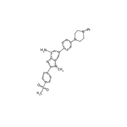 CC(C)N1CCN(c2ccc(-c3cc(N)c4nc(-c5ccc(S(C)(=O)=O)cc5)n(C)c4c3)cc2)CC1